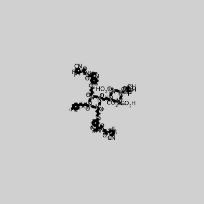 N#C[C@@H]1CC(F)(F)CN1C(=O)CNC(=O)c1ccnc2ccc(OCCCC(=O)N3CCN(C(=O)CCCc4ccc(I)cc4)CCN(C(=O)CCCOc4ccc5nccc(C(=O)NCC(=O)N6CC(F)(F)C[C@H]6C#N)c5c4)CCN(C(=O)CCC(C(=O)O)N4CCN(CC(=O)O)CCN(CC(=O)O)CCN(CC(=O)O)CC4)CC3)cc12.O=C(O)C(F)(F)F